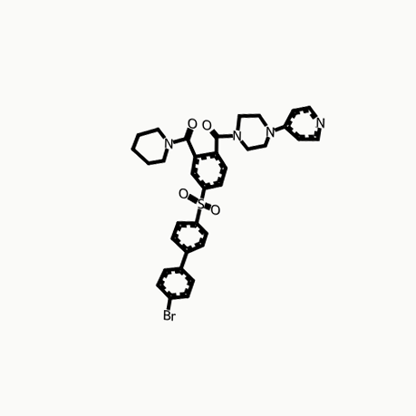 O=C(c1cc(S(=O)(=O)c2ccc(-c3ccc(Br)cc3)cc2)ccc1C(=O)N1CCN(c2ccncc2)CC1)N1CCCCC1